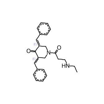 CCNCCC(=O)N1C/C(=C\c2ccccc2)C(=O)/C(=C/c2ccccc2)C1